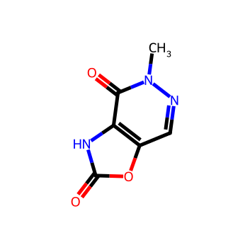 Cn1ncc2oc(=O)[nH]c2c1=O